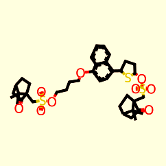 CC1(C)C2CCC1(CS(=O)(=O)OCCCCOc1ccc(C3CCC(OS(=O)(=O)CC45CCC(CC4=O)C5(C)C)S3)c3ccccc13)C(=O)C2